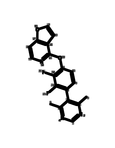 Cc1ncnc(C)c1-c1ccc(Oc2nccc3occc23)c(F)c1F